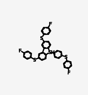 Fc1ccc(Sc2ccc([SH]3c4ccc(Sc5ccc(F)cc5)cc4-c4cc(Sc5ccc(F)cc5)ccc43)cc2)cc1